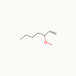 [CH2]CCCC(C=C)OC